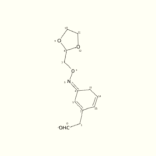 O=[C]CC1=CC(=NOCC2OCCO2)CC=C1